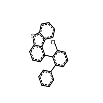 Clc1cccc(-c2ccccc2)c1-c1cccc2sc3ccccc3c12